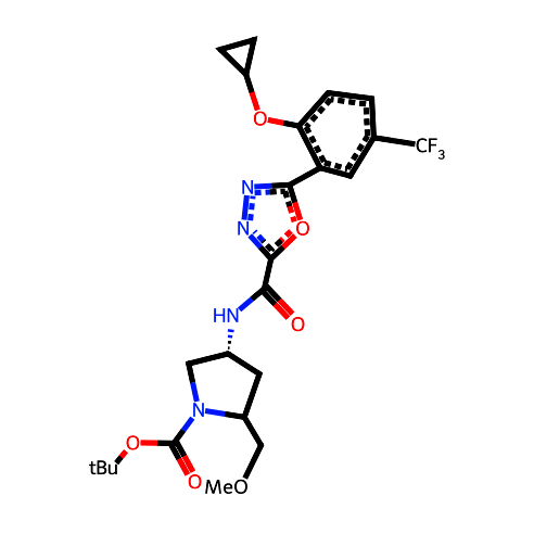 COCC1C[C@@H](NC(=O)c2nnc(-c3cc(C(F)(F)F)ccc3OC3CC3)o2)CN1C(=O)OC(C)(C)C